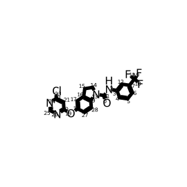 O=C(Nc1cccc(C(F)(F)F)c1)N1CCc2cc(Oc3cc(Cl)ncn3)ccc21